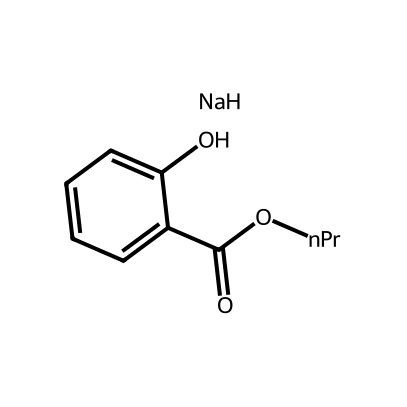 CCCOC(=O)c1ccccc1O.[NaH]